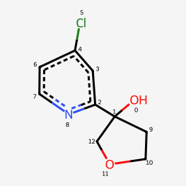 OC1(c2cc(Cl)ccn2)CCOC1